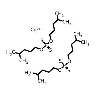 CC(C)CCCOP(=S)([S-])OCCCC(C)C.CC(C)CCCOP(=S)([S-])OCCCC(C)C.[Cu+2]